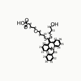 O=S(=O)(O)CCCOCCCSC(SCCCO)=C1c2ccccc2N(Cc2ccccc2)c2ccccc21